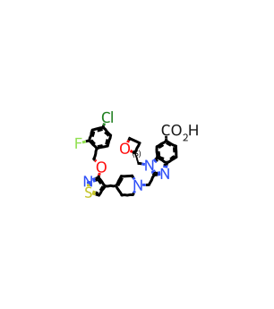 O=C(O)c1ccc2nc(CN3CC=C(c4csnc4OCc4ccc(Cl)cc4F)CC3)n(C[C@@H]3CCO3)c2c1